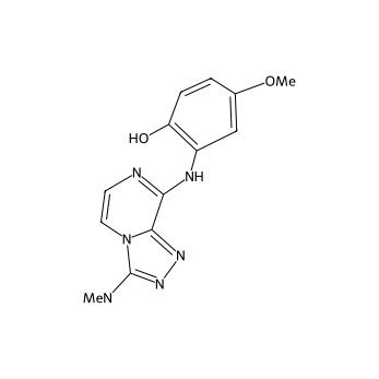 CNc1nnc2c(Nc3cc(OC)ccc3O)nccn12